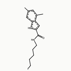 Cc1cc(C)c2cc(C(=O)NCCCCCI)[nH]c2c1